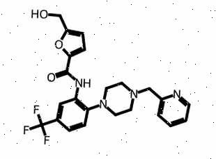 O=C(Nc1cc(C(F)(F)F)ccc1N1CCN(Cc2ccccn2)CC1)c1ccc(CO)o1